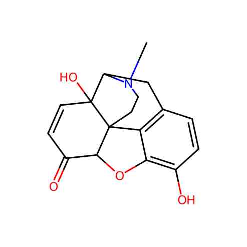 CN1CCC23c4c5ccc(O)c4OC2C(=O)C=CC3(O)C1C5